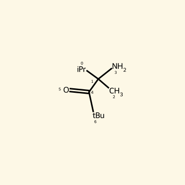 CC(C)C(C)(N)C(=O)C(C)(C)C